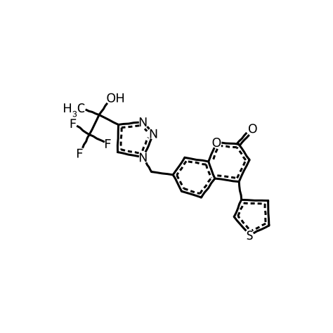 CC(O)(c1cn(Cc2ccc3c(-c4ccsc4)cc(=O)oc3c2)nn1)C(F)(F)F